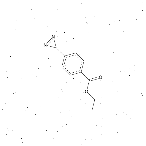 CCOC(=O)c1ccc(C2N=N2)cc1